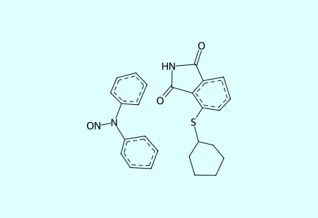 O=C1NC(=O)c2c(SC3CCCCC3)cccc21.O=NN(c1ccccc1)c1ccccc1